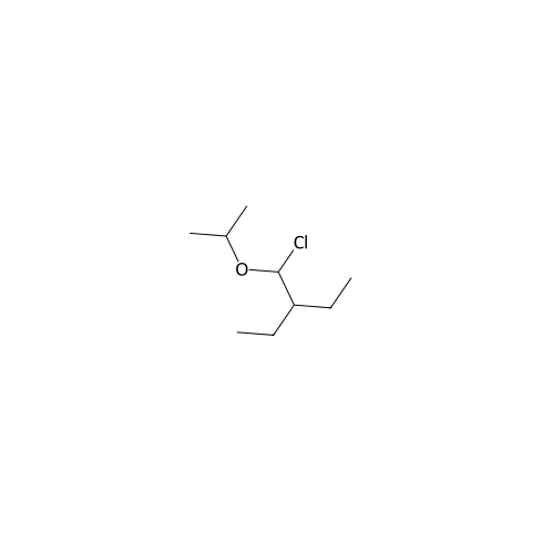 CCC(CC)C(Cl)OC(C)C